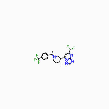 C[C@@H]1CCN([C@H](C)c2ccc(C(F)(F)F)cc2)C[C@H]1c1cc(C(F)F)nc2ncnn12